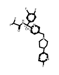 C[C@](NC(=O)C(F)F)(c1ccc(F)c(F)c1)c1ccc(CN2CCC(c3ccc(F)nc3)CC2)cn1